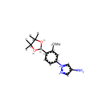 COc1cc(-n2cc(N)cn2)ccc1B1OC(C)(C)C(C)(C)O1